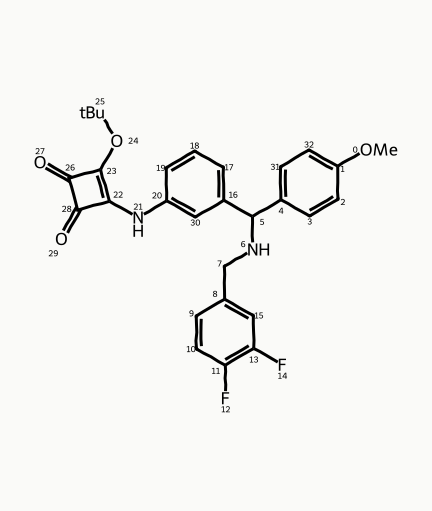 COc1ccc(C(NCc2ccc(F)c(F)c2)c2cccc(Nc3c(OC(C)(C)C)c(=O)c3=O)c2)cc1